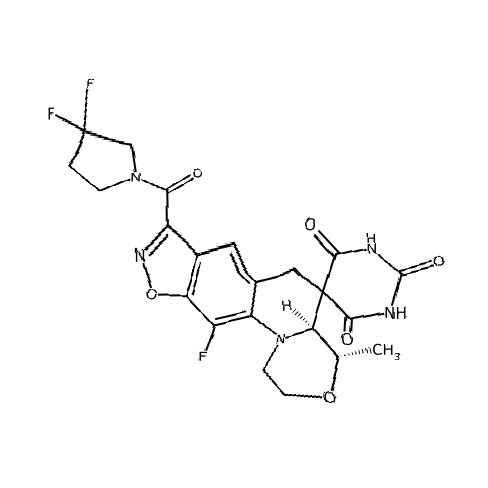 C[C@@H]1OCCN2c3c(cc4c(C(=O)N5CCC(F)(F)C5)noc4c3F)CC3(C(=O)NC(=O)NC3=O)[C@@H]12